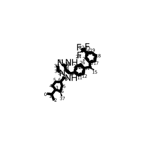 CC(C)C1CCC(C2NC(c3ccc([C@H](C)c4cccc(C(F)(F)F)c4)cc3)=C3C(N)=NC=CN32)C[C@H]1C